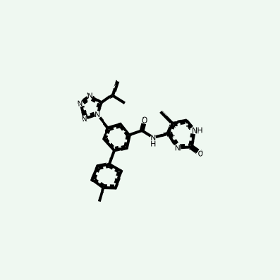 Cc1ccc(-c2cc(C(=O)Nc3nc(=O)[nH]cc3C)cc(-n3nnnc3C(C)C)c2)cc1